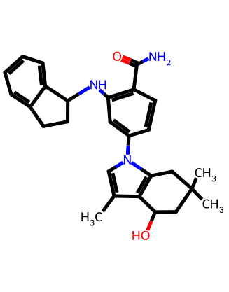 Cc1cn(-c2ccc(C(N)=O)c(NC3CCc4ccccc43)c2)c2c1C(O)CC(C)(C)C2